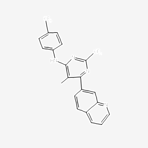 Cc1c(Nc2ccc(C(F)(F)F)cc2)nc(C(F)(F)F)nc1-c1ccc2cccnc2c1